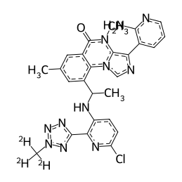 [2H]C([2H])([2H])n1nnc(-c2nc(Cl)ccc2NC(C)c2cc(C)cc3c(=O)n(C)c4c(-c5cccnc5N)ncn4c23)n1